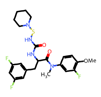 COc1ccc(N(C)C(=O)C(Cc2cc(F)cc(F)c2)NC(=O)NSN2CCCCC2)cc1F